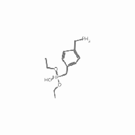 CCO[PH](O)(Cc1ccc(CP)cc1)OCC